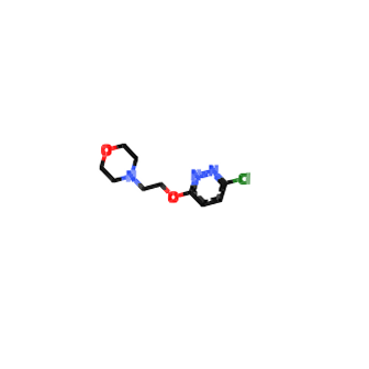 Clc1ccc(OCCN2CCOCC2)nn1